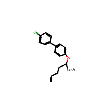 C=CCCC(Oc1ccc(-c2ccc(Cl)cc2)cc1)C(=O)O